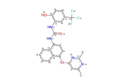 Cc1cc(Oc2ccc(NC(=O)Nc3cc(C(F)(F)F)ccc3O)c3ccccc23)nc(C)n1